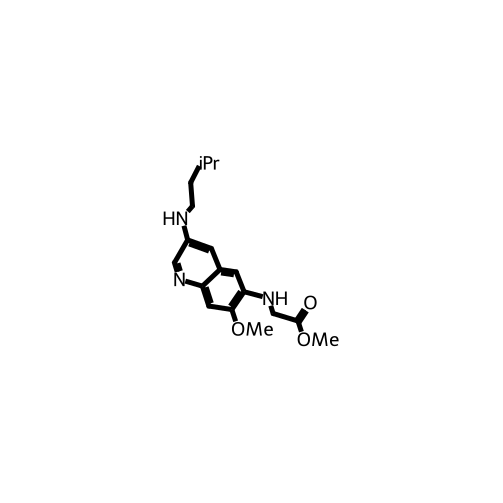 COC(=O)CNc1cc2cc(NCCC(C)C)cnc2cc1OC